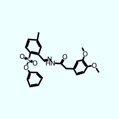 COc1ccc(CC(=O)N/N=C/c2cc(C)ccc2S(=O)(=O)Oc2ccccc2)cc1OC